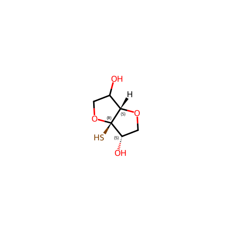 OC1CO[C@@]2(S)[C@@H](O)CO[C@@H]12